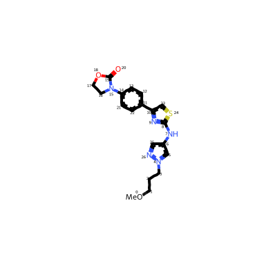 COCCCn1cc(Nc2nc(-c3ccc(N4CCOC4=O)cc3)cs2)cn1